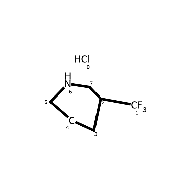 Cl.FC(F)(F)C1CCCNC1